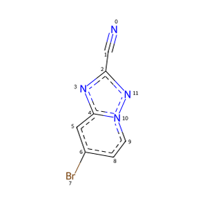 N#Cc1nc2cc(Br)ccn2n1